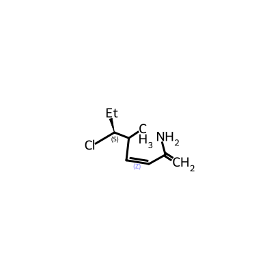 C=C(N)/C=C\C(C)[C@@H](Cl)CC